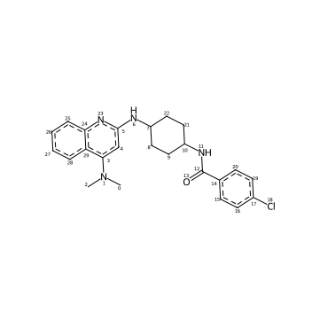 CN(C)c1cc(NC2CCC(NC(=O)c3ccc(Cl)cc3)CC2)nc2ccccc12